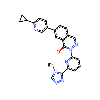 CC(C)n1cnnc1-c1cccc(-n2ncc3ccc(-c4ccc(C5CC5)nc4)cc3c2=O)n1